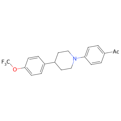 CC(=O)c1ccc(N2CCC(c3ccc(OC(F)(F)F)cc3)CC2)cc1